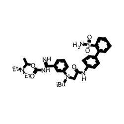 CCC(C)N(CC(=O)Nc1ccc(-c2ccccc2S(N)(=O)=O)cc1)c1cccc(C(=N)NC(=O)OC(C)N(CC)CC)c1